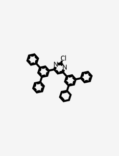 Clc1nc(-c2cc(C3=CC=CCC3)cc(-c3ccccc3)c2)cc(-c2cc(-c3ccccc3)cc(-c3ccccc3)c2)n1